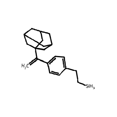 C=C(c1ccc(CC[SiH3])cc1)C12CC3CC(CC(C3)C1)C2